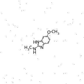 CNc1nc2ccc(OC)cc2[nH]1